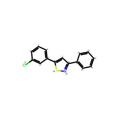 Clc1cccc(-c2[c]c(-c3ccccc3)ns2)c1